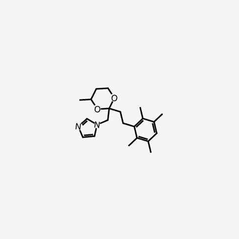 Cc1cc(C)c(C)c(CCC2(Cn3ccnc3)OCCC(C)O2)c1C